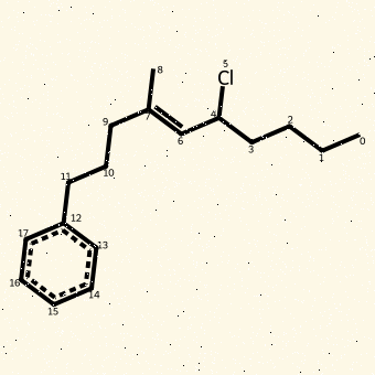 CCCCC(Cl)C=C(C)CCCc1ccccc1